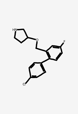 Fc1ccc(-c2ccc(Cl)cc2)c(COC2CCNC2)c1